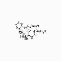 CCCCCCCCC(/C=C/c1ccccc1C)c1ccccc1OS(=O)(=O)O.CCOCC